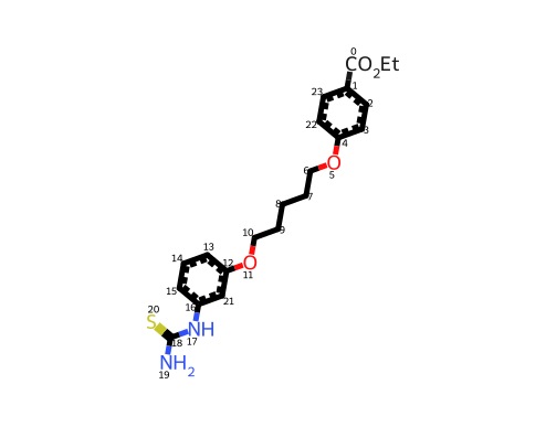 CCOC(=O)c1ccc(OCCCCCOc2cccc(NC(N)=S)c2)cc1